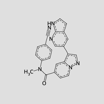 CN(C(=O)c1ccn2ncc(-c3cnc4[nH]ccc4c3)c2c1)c1ccc(C#N)cc1